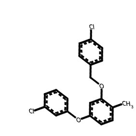 Cc1ccc(Oc2cccc(Cl)c2)cc1OCc1ccc(Cl)cc1